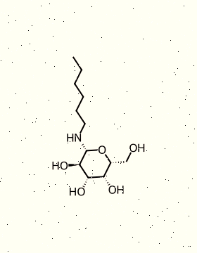 CCCCCCN[C@@H]1O[C@H](CO)[C@H](O)[C@H](O)[C@H]1O